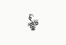 COc1ccccc1C(=O)n1nc(C2C(C(=O)O)N(S(=O)(=O)N(C)C)CCC2C(F)(F)F)c(F)c1SCc1ccc(CN)cc1